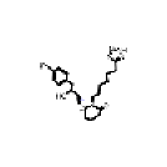 CC(C)c1ccc(CC(O)/C=C/[C@H]2CCCC(=O)N2CCCCCCc2nn[nH]n2)cc1